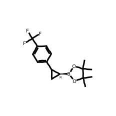 CC1(C)OB([C@H]2CC2c2ccc(C(F)(F)F)cc2)OC1(C)C